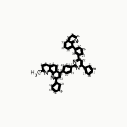 Cc1ccc2ccc3c(-c4ccc(-c5nc(-c6ccccc6)cc(-c6cccc(-c7cccc8cccnc78)c6)n5)cc4)cc(-c4ccccc4)nc3c2n1